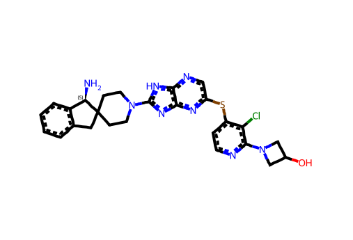 N[C@@H]1c2ccccc2CC12CCN(c1nc3nc(Sc4ccnc(N5CC(O)C5)c4Cl)cnc3[nH]1)CC2